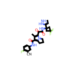 C/C=C(\NN)C1(NC(=O)C(=O)c2c(C)c(C(=O)Nc3ccc(F)c(C#N)c3)c3n2CCC3)CC(F)(F)C1